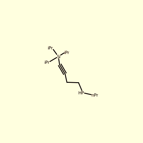 CCCPCCC#C[Si](C(C)C)(C(C)C)C(C)C